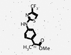 COC(=O)[C@@H](C)c1ccc(Nc2nc(C(F)(F)F)cs2)cc1